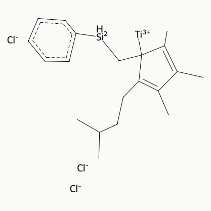 CC1=C(C)[C]([Ti+3])(C[SiH2]c2ccccc2)C(CCC(C)C)=C1C.[Cl-].[Cl-].[Cl-]